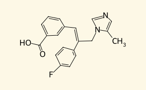 Cc1cncn1C/C(=C/c1cccc(C(=O)O)c1)c1ccc(F)cc1